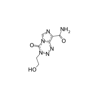 NC(=O)c1ncn2c(=O)n(CCO)nnc12